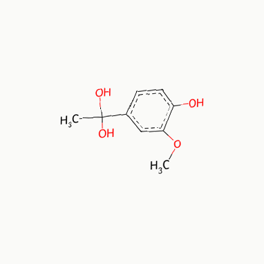 COc1cc(C(C)(O)O)ccc1O